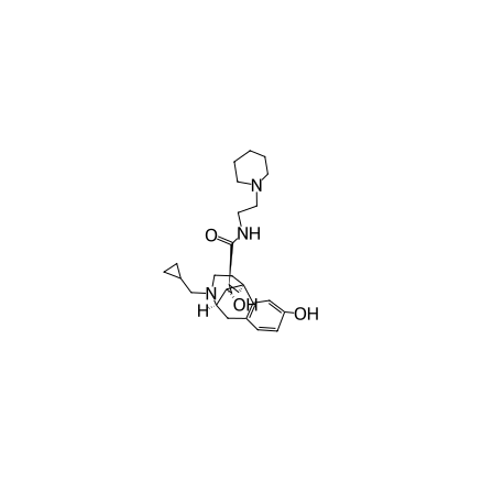 O=C(NCCN1CCCCC1)[C@H]1C[C@]23CCN(CC4CC4)[C@H](Cc4ccc(O)cc42)[C@]3(O)C1